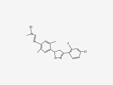 CCN(C)C=Nc1cc(C)c(C2CC(c3ccc(Cl)cc3F)=NO2)cc1C